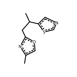 Cc1coc(CC(C)c2cncs2)n1